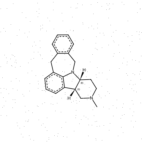 CN1CC[C@@H]2[C@H](C1)c1cccc3c1N2Cc1ccccc1C3